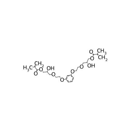 C=C(C)C(=O)OCC(O)COCCOc1cccc(OCCOCC(O)COC(=O)C(=C)C)c1